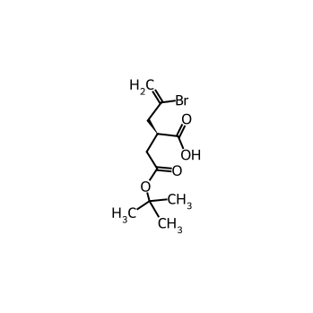 C=C(Br)C[C@H](CC(=O)OC(C)(C)C)C(=O)O